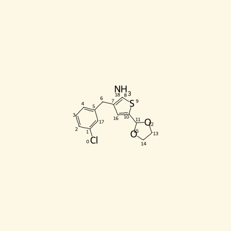 Clc1cccc(Cc2csc(C3OCCO3)c2)c1.N